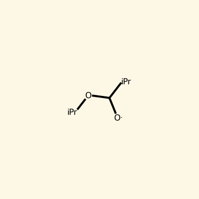 CC(C)OC([O])C(C)C